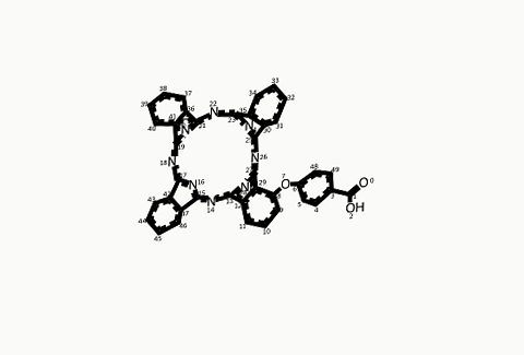 O=C(O)c1ccc(Oc2cccc3c4nc5nc(nc6[nH]c(nc7nc(nc([nH]4)c23)-c2ccccc2-7)c2ccccc62)-c2ccccc2-5)cc1